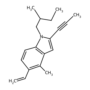 C=Cc1ccc2c(cc(C#CC)n2CC(C)CC)c1C